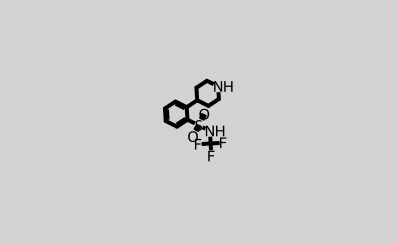 O=S(=O)(NC(F)(F)F)c1ccccc1C1CCNCC1